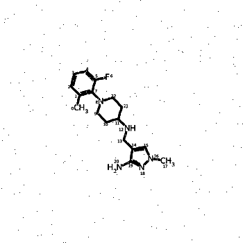 Cc1cccc(F)c1N1CCC(NCc2cn(C)nc2N)CC1